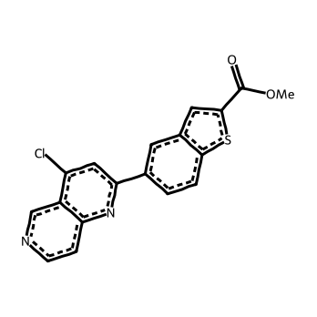 COC(=O)c1cc2cc(-c3cc(Cl)c4cnccc4n3)ccc2s1